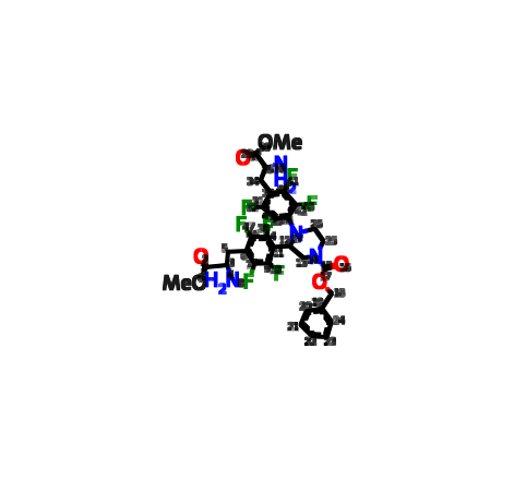 COC(=O)[C@H](N)Cc1c(F)c(F)c(C2CN(C(=O)OCc3ccccc3)CCN2c2c(F)c(F)c(C[C@@H](N)C(=O)OC)c(F)c2F)c(F)c1F